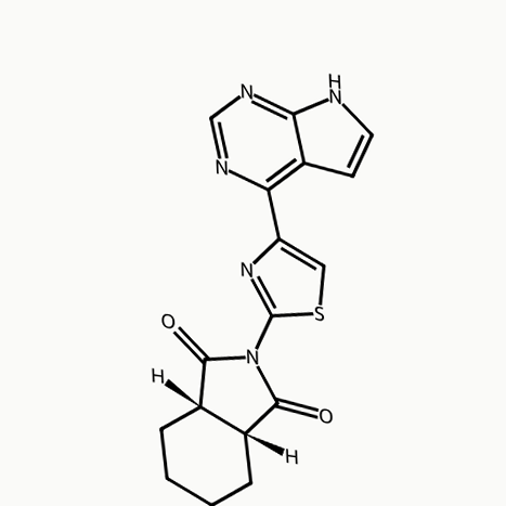 O=C1[C@H]2CCCC[C@H]2C(=O)N1c1nc(-c2ncnc3[nH]ccc23)cs1